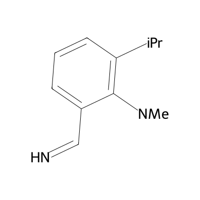 CNc1c(C=N)cccc1C(C)C